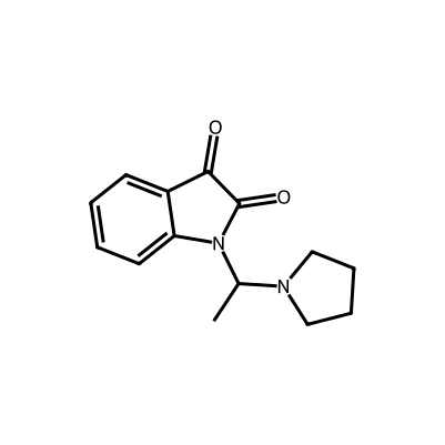 CC(N1CCCC1)N1C(=O)C(=O)c2ccccc21